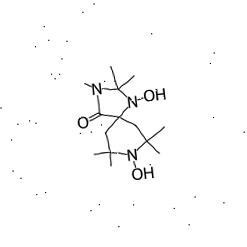 CN1C(=O)C2(CC(C)(C)N(O)C(C)(C)C2)N(O)C1(C)C